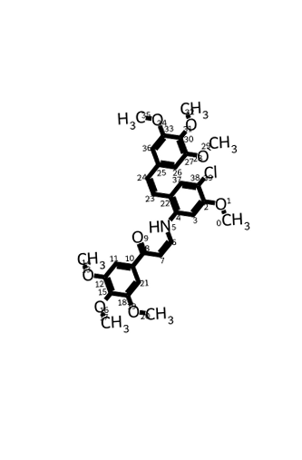 COc1cc(N/C=C\C(=O)c2cc(OC)c(OC)c(OC)c2)c(/C=C\c2cc(OC)c(OC)c(OC)c2)cc1Cl